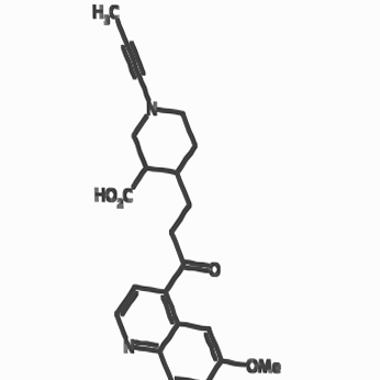 CC#CN1CCC(CCC(=O)c2ccnc3ccc(OC)cc23)C(C(=O)O)C1